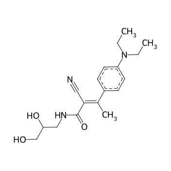 CCN(CC)c1ccc(/C(C)=C(\C#N)C(=O)NCC(O)CO)cc1